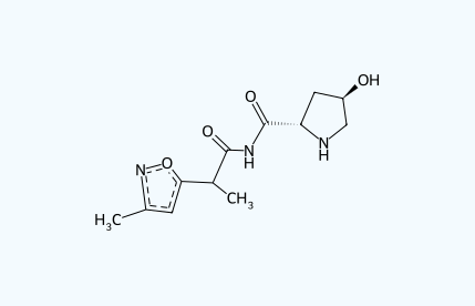 Cc1cc(C(C)C(=O)NC(=O)[C@@H]2C[C@@H](O)CN2)on1